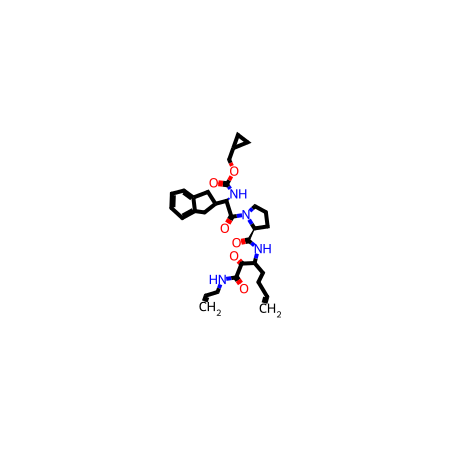 C=CCCC(NC(=O)[C@@H]1CCCN1C(=O)[C@@H](NC(=O)OCC1CC1)C1Cc2ccccc2C1)C(=O)C(=O)NCC=C